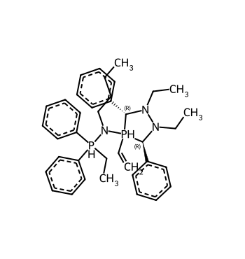 C=C[PH]1(N(CCCC)[PH](CC)(c2ccccc2)c2ccccc2)[C@H](c2ccccc2)N(CC)N(CC)[C@H]1c1ccccc1